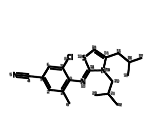 Cc1cc(C#N)cc(Cl)c1N=c1scc(CC(C)C)n1CC(C)C